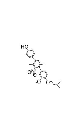 COc1cc(-c2c(C)cc(-c3ccc(O)cc3)c(C)c2[N+](=O)[O-])ccc1OCC=C(C)C